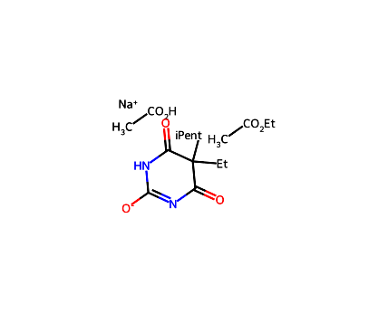 CC(=O)O.CCCC(C)C1(CC)C(=O)N=C([O-])NC1=O.CCOC(C)=O.[Na+]